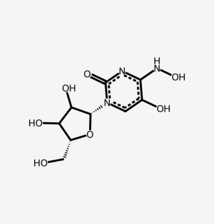 O=c1nc(NO)c(O)cn1[C@@H]1O[C@H](CO)C(O)C1O